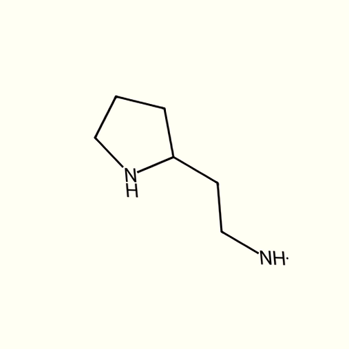 [NH]CCC1CCCN1